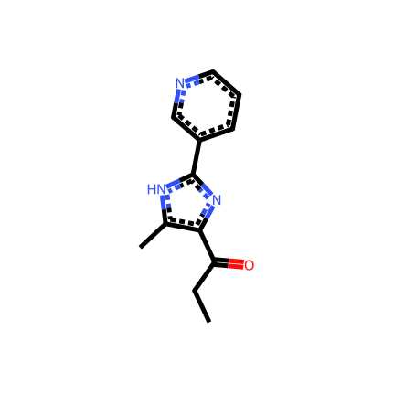 CCC(=O)c1nc(-c2cccnc2)[nH]c1C